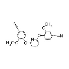 COc1cc(C#N)ccc1Oc1cccc(Oc2ccc(C#N)cc2OC)n1